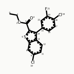 CCOC(=O)c1sc2cc(Cl)ccc2c1-c1ccc(Cl)c(F)c1